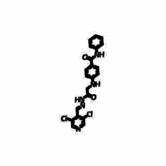 O=C(CNc1ccc(C(=O)Nc2ccccc2)cc1)NN=Cc1c(Cl)cncc1Cl